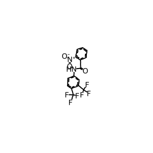 O=C(Nc1ccc(C(F)(F)F)c(C(F)(F)F)c1)c1ccccc1[N+](=O)[O-]